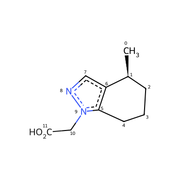 C[C@H]1CCCc2c1cnn2CC(=O)O